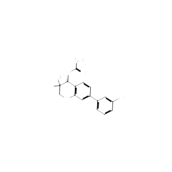 Cc1cccc(-c2ccc3c(c2)OCC(C)(C)C3OC(N)=O)c1